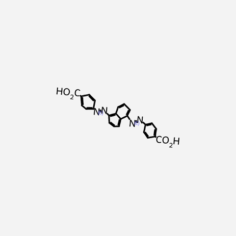 O=C(O)c1ccc(/N=N/c2cccc3c(/N=N/c4ccc(C(=O)O)cc4)cccc23)cc1